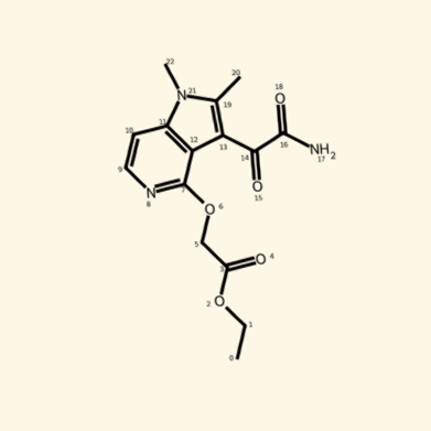 CCOC(=O)COc1nccc2c1c(C(=O)C(N)=O)c(C)n2C